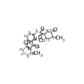 Cc1cc(Cl)c(S(=O)(=O)Cc2cccc(C(=O)N3C(C)CCCC3C)n2)cc1Cl